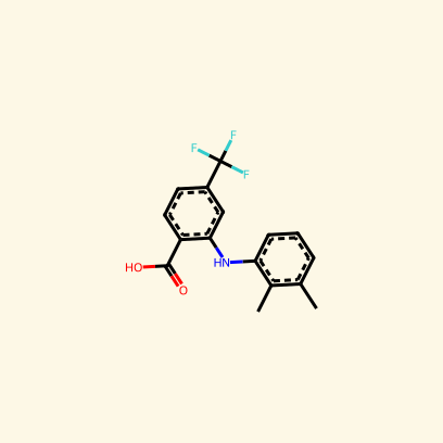 Cc1cccc(Nc2cc(C(F)(F)F)ccc2C(=O)O)c1C